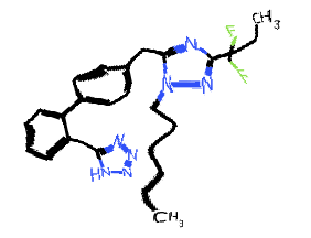 CCCCCCn1nc(C(F)(F)CC)nc1Cc1ccc(-c2ccccc2-c2nnn[nH]2)cc1